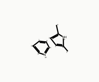 Cc1ccc(C)[nH]1.c1ccncc1